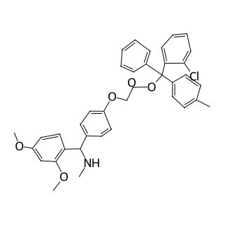 CNC(c1ccc(OCC(=O)OC(c2ccccc2)(c2ccc(C)cc2)c2ccccc2Cl)cc1)c1ccc(OC)cc1OC